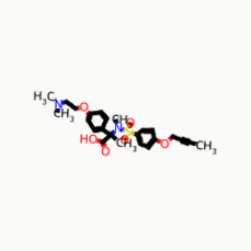 CC#CCOc1ccc(S(=O)(=O)N(C)C(C)(C(=O)O)c2ccc(OCCN(C)C)cc2)cc1